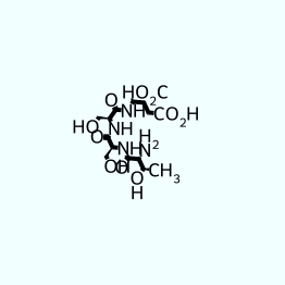 C[C@@H](O)[C@H](N)C(=O)N[C@@H](CO)C(=O)N[C@@H](CO)C(=O)N[C@@H](CCC(=O)O)C(=O)O